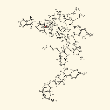 CC(=O)N[C@@H](CCC(=O)O)CN(CC(=O)N[C@@H](CC(C)C)CN(CC(=O)N[C@@H](Cc1c[nH]c2ccccc12)CN(CC(=O)N[C@@H](CCC(=O)O)CN(CC(=O)N[C@@H](Cc1ccc(O)cc1)CN(CC(=O)N[C@@H](CCCCN)CN(CC(=O)N[C@@H](Cc1ccc(O)cc1)CN(CC(=O)N[C@@H](C)CN(CC(N)=O)S(C)(=O)=O)S(C)(=O)=O)S(C)(=O)=O)S(=O)(=O)CCN)S(=O)(=O)CC(C)C)S(=O)(=O)CC(C)C)S(=O)(=O)CCN)S(=O)(=O)CCN